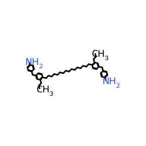 CCCc1cc(Cc2ccc(N)cc2)ccc1CCCCCCCCCCCCCCCCc1ccc(Cc2ccc(N)cc2)cc1CCC